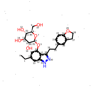 CCc1cc(O[C@@H]2O[C@H](CO)[C@@H](O)[C@H](O)[C@H]2O)c2c(CCc3ccc4c(c3)CCO4)n[nH]c2c1